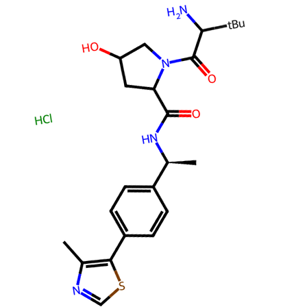 Cc1ncsc1-c1ccc([C@H](C)NC(=O)C2CC(O)CN2C(=O)C(N)C(C)(C)C)cc1.Cl